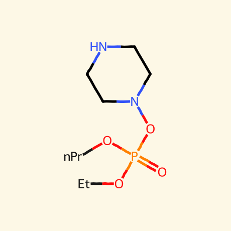 CCCOP(=O)(OCC)ON1CCNCC1